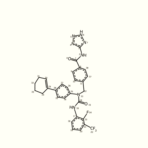 O=C(Nc1nn[nH]n1)c1ccc(CN(C(=O)Nc2cccc(C(F)(F)F)c2F)c2ccc(C3=CCCCC3)cc2)cc1